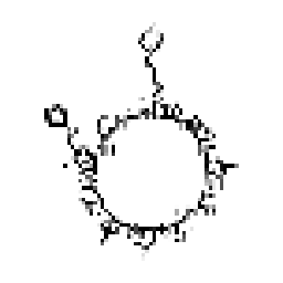 CC[C@@H]1NC(=O)[C@@H]2[C@@H]([C@H](C)CCOc3ccccc3)ON2C(=O)[C@H](C(C)C)N(C)C(=O)[C@H](CC(C)C)N(C)C(=O)[C@H](CC(C)C)N(C)C(=O)[C@@H](C)NC(=O)[C@H](C)NC(=O)[C@H](CC(C)C)N(C)C(=O)[C@H](C(C)C)NC(=O)[C@H]([C@@H](C)OCCCCN2CCOCC2)N(C)C(=O)[C@@H](C)N(C)C1=O